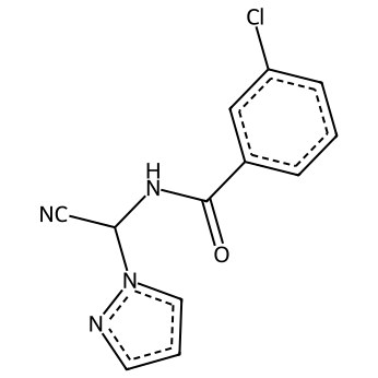 N#CC(NC(=O)c1cccc(Cl)c1)n1cccn1